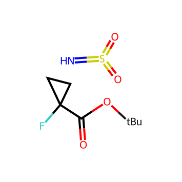 CC(C)(C)OC(=O)C1(F)CC1.N=S(=O)=O